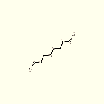 CCSOCCCCOSCC